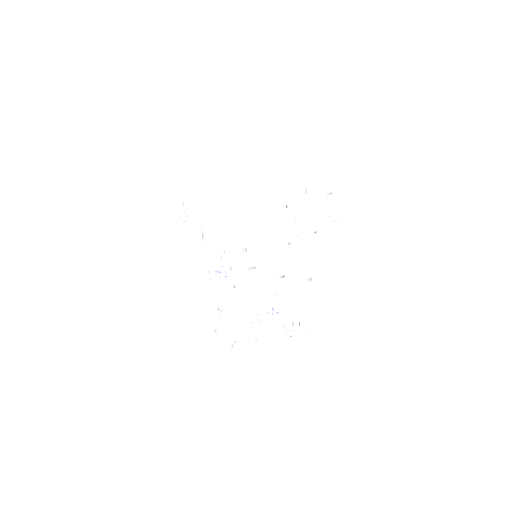 COCCCNC1c2ccccc2N(C)S(=O)(=O)c2cc(-c3ccccc3)ccc21